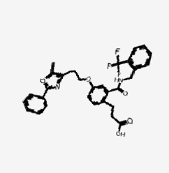 Cc1oc(-c2ccccc2)nc1CCOc1ccc(CCC(=O)O)c(C(=O)NCc2ccccc2C(F)(F)F)c1